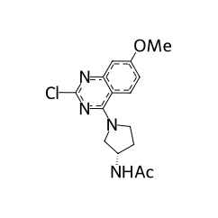 COc1ccc2c(N3CC[C@H](NC(C)=O)C3)nc(Cl)nc2c1